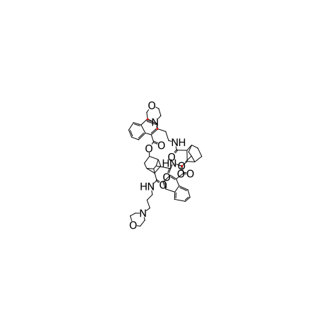 O=C(OC1CC2CCC1C(C(=O)NC(=O)C1C3CCC(CC3OC(=O)c3cccc4ccccc34)C1C(=O)NCCCN1CCOCC1)C2C(=O)NCCCN1CCOCC1)c1cccc2ccccc12